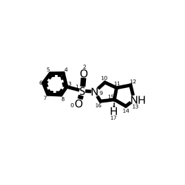 O=S(=O)(c1ccccc1)N1CC2CNC[C@H]2C1